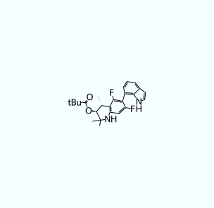 C[C@@H]1c2c(cc(F)c(-c3cccc4cc[nH]c34)c2F)NC(C)(C)[C@H]1OC(=O)C(C)(C)C